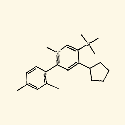 Cc1ccc(-c2cc(C3CCCC3)c([Si](C)(C)C)c[n+]2C)c(C)c1